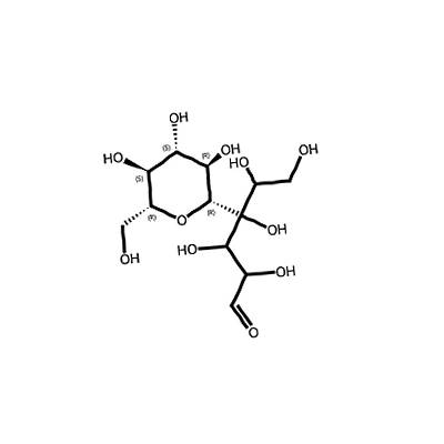 O=CC(O)C(O)C(O)(C(O)CO)[C@@H]1O[C@H](CO)[C@@H](O)[C@H](O)[C@H]1O